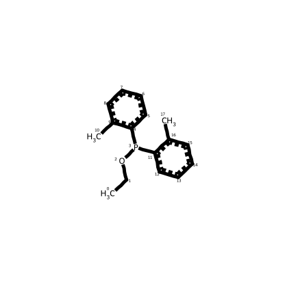 CCOP(c1ccccc1C)c1ccccc1C